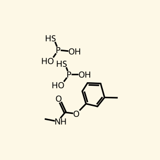 CNC(=O)Oc1cccc(C)c1.OP(O)S.OP(O)S